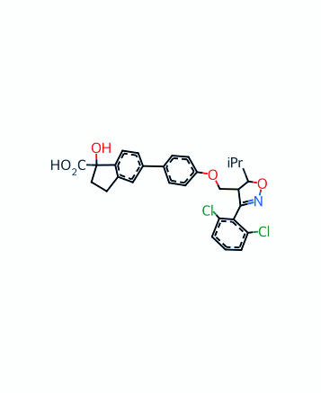 CC(C)C1ON=C(c2c(Cl)cccc2Cl)C1COc1ccc(-c2ccc3c(c2)CCC3(O)C(=O)O)cc1